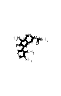 Cc1c(N)cncc1-c1cc2cc(OC(N)=O)ncc2c(N)c1F